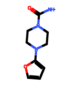 [NH]C(=O)N1CCN(c2ccco2)CC1